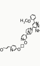 COc1ccccc1-c1cc(N2CC3CCCC2CN3c2ccnc(O[C@H]3C[C@H](Oc4ccc(/C=C/CO)nc4)C3)c2)c(N)nn1